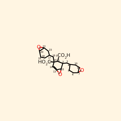 O=C(O)C1C(CC2CCC3OC3C2)C2OC2=CC1(CC1CCC2OC2C1)C(=O)O